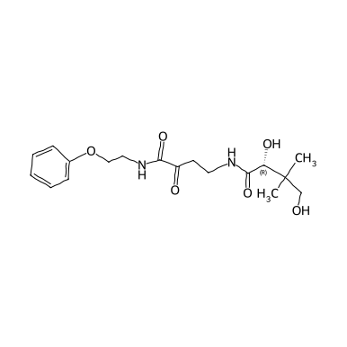 CC(C)(CO)[C@@H](O)C(=O)NCCC(=O)C(=O)NCCOc1ccccc1